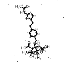 CC(=O)Nc1nc(CCc2ccc(CNC(NC(=O)O)(N(C(=O)O)C(C)(C)C)C(C)(C)C)cc2)cs1